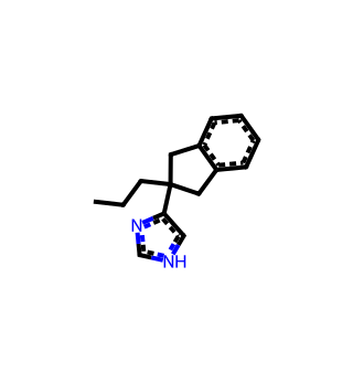 CCCC1(c2c[nH]cn2)Cc2ccccc2C1